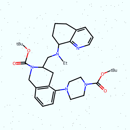 CCN(CC1Cc2c(cccc2N2CCN(C(=O)OC(C)(C)C)CC2)CN1C(=O)OC(C)(C)C)C1CCCc2cccnc21